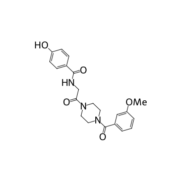 COc1cccc(C(=O)N2CCN(C(=O)CNC(=O)c3ccc(O)cc3)CC2)c1